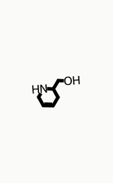 OCC1CC=CCN1